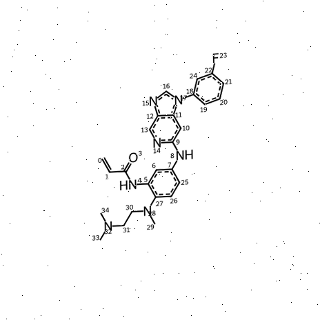 C=CC(=O)Nc1cc(Nc2cc3c(cn2)ncn3-c2cccc(F)c2)ccc1N(C)CCN(C)C